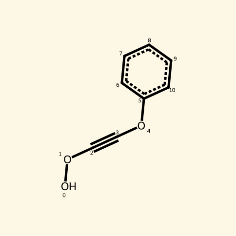 OOC#COc1ccccc1